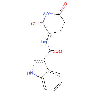 O=C1CC[C@@H](NC(=O)c2c[nH]c3ccccc23)C(=O)N1